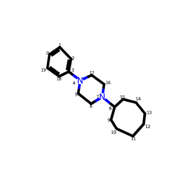 c1ccc(N2CCN(C3CCCCCCC3)CC2)cc1